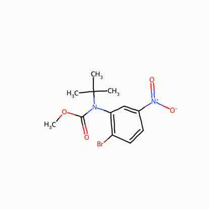 COC(=O)N(c1cc([N+](=O)[O-])ccc1Br)C(C)(C)C